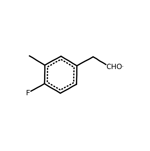 Cc1cc(C[C]=O)ccc1F